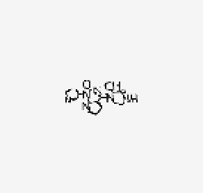 C[C@H]1CNCCN1c1nc(=O)n(-c2cccnc2)c2ncccc12